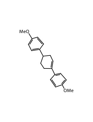 COc1ccc(C2=CCC(c3ccc(OC)cc3)CC2)cc1